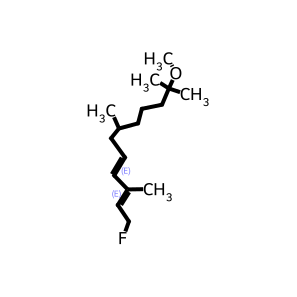 COC(C)(C)CCCC(C)C/C=C/C(C)=C/CF